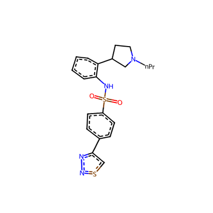 CCCN1CCC(c2ccccc2NS(=O)(=O)c2ccc(-c3csnn3)cc2)C1